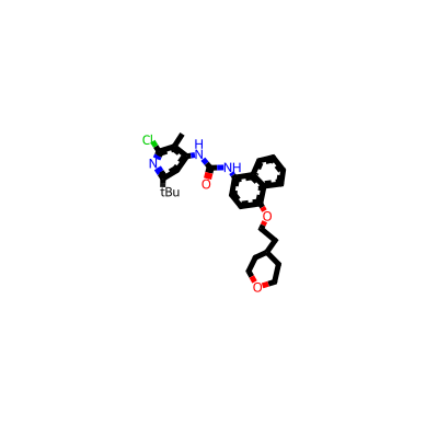 Cc1c(NC(=O)Nc2ccc(OCCC3CCOCC3)c3ccccc23)cc(C(C)(C)C)nc1Cl